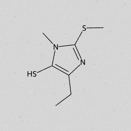 CCc1nc(SC)n(C)c1S